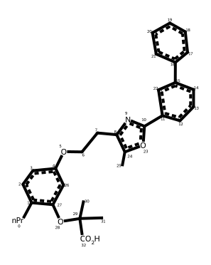 CCCc1ccc(OCCc2nc(-c3cccc(-c4ccccc4)c3)oc2C)cc1OC(C)(C)C(=O)O